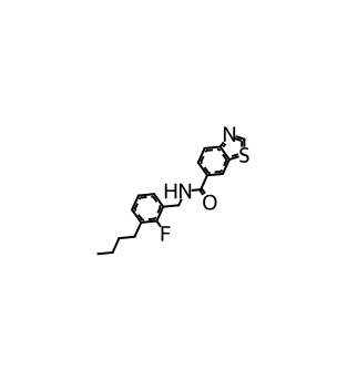 CCCCc1cccc(CNC(=O)c2ccc3ncsc3c2)c1F